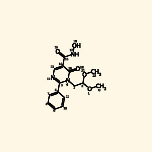 COC(Cn1c(-c2ccccc2)ncc(C(=O)NO)c1=O)OC